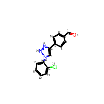 O=Cc1ccc(-c2cn(-c3ccccc3Cl)nn2)cc1